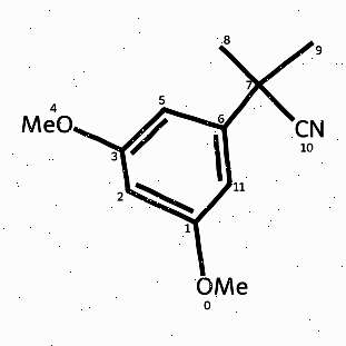 COc1cc(OC)cc(C(C)(C)C#N)c1